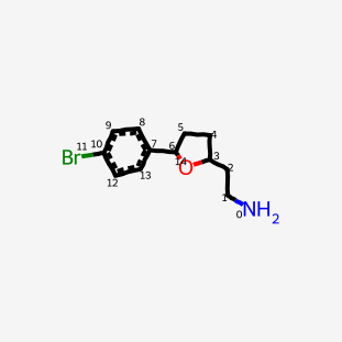 NCCC1CCC(c2ccc(Br)cc2)O1